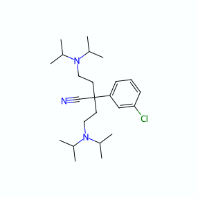 CC(C)N(CCC(C#N)(CCN(C(C)C)C(C)C)c1cccc(Cl)c1)C(C)C